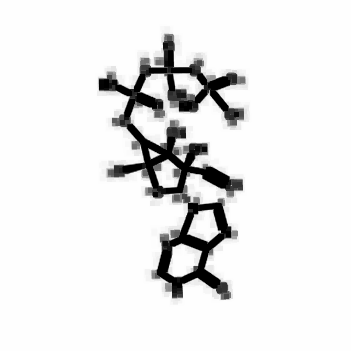 C#C[C@]1(O)[C@H](n2cnc3c(=O)[nH]cnc32)O[C@@H]2C(OP(=O)(O)OP(=O)(O)OP(=O)(O)O)[C@@]21O